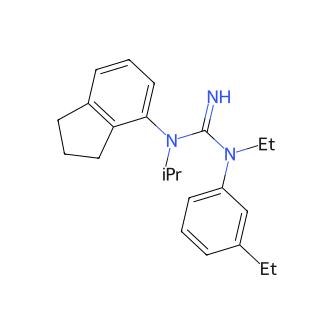 CCc1cccc(N(CC)C(=N)N(c2cccc3c2CCC3)C(C)C)c1